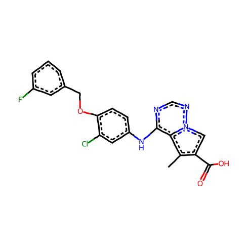 Cc1c(C(=O)O)cn2ncnc(Nc3ccc(OCc4cccc(F)c4)c(Cl)c3)c12